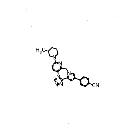 CC1CCCN(c2ccc3c(n2)Cn2cc(-c4ccc(C#N)cc4)cc2-c2nncn2-3)C1